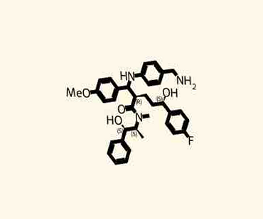 COc1ccc(C(Nc2ccc(CN)cc2)[C@@H](CC[C@H](O)c2ccc(F)cc2)C(=O)N(C)[C@@H](C)[C@@H](O)c2ccccc2)cc1